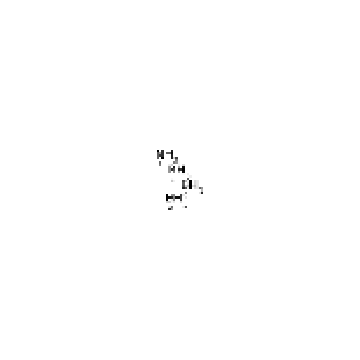 B.B.B.N